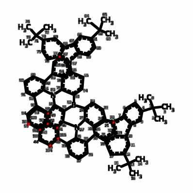 CC(C)(C)c1ccc2c(c1)c1cc(C(C)(C)C)ccc1n2-c1ccc2c(c1)N(c1c(-c3ccccc3)cccc1-c1ccccc1)c1c3c4c(c5c1B2c1ccc(-n2c6ccc(C(C)(C)C)cc6c6cc(C(C)(C)C)ccc62)cc1N5c1c(-c2ccccc2)cccc1-c1ccccc1)CCCN4CCC3